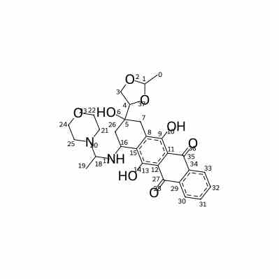 CC1OCC(C2(O)Cc3c(O)c4c(c(O)c3C(NC(C)N3CCOCC3)C2)C(=O)c2ccccc2C4=O)O1